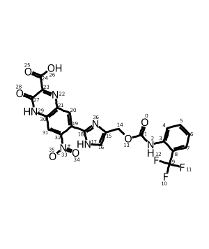 O=C(Nc1ccccc1C(F)(F)F)OCc1c[nH]c(-c2cc3nc(C(=O)O)c(=O)[nH]c3cc2[N+](=O)[O-])n1